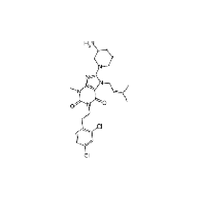 CC(C)=CCn1c(N2CCCC(N)C2)nc2c1c(=O)n(CCc1ccc(Cl)cc1Cl)c(=O)n2C